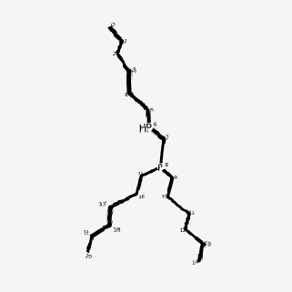 CCCCCCPCP(CCCCCC)CCCCCC